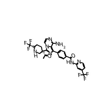 CC(=O)[C@@]1(c2nc(-c3ccc(C(=O)Nc4cc(C(F)(F)F)ccn4)cc3)c3c(N)nccn23)CC[C@H](C(F)(F)F)NC1